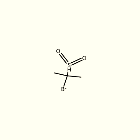 CC(C)(Br)[SH](=O)=O